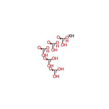 [KH].[O]=[Ti]([OH])[OH].[O]=[Ti]([OH])[OH].[O]=[Ti]([OH])[OH].[O]=[Ti]([OH])[OH].[O]=[Ti]([OH])[OH]